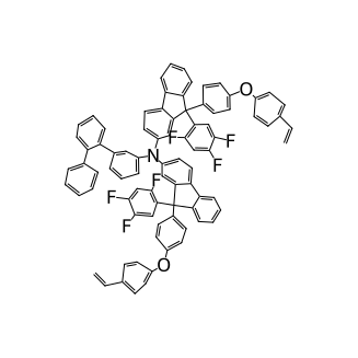 C=Cc1ccc(Oc2ccc(C3(c4cc(F)c(F)cc4F)c4ccccc4-c4ccc(N(c5cccc(-c6ccccc6-c6ccccc6)c5)c5ccc6c(c5)C(c5ccc(Oc7ccc(C=C)cc7)cc5)(c5cc(F)c(F)cc5F)c5ccccc5-6)cc43)cc2)cc1